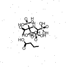 CC(=O)C(NC(P(=O)(O)O)P(=O)(O)O)(P(=O)(O)O)P(=O)(O)O.CCCC(=O)O